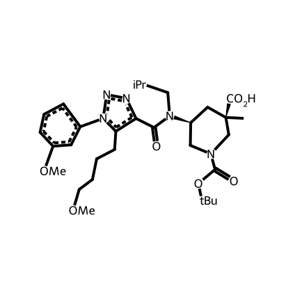 COCCCCc1c(C(=O)N(CC(C)C)[C@@H]2CN(C(=O)OC(C)(C)C)C[C@](C)(C(=O)O)C2)nnn1-c1cccc(OC)c1